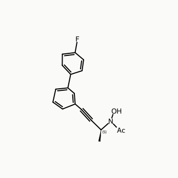 CC(=O)N(O)[C@@H](C)C#Cc1cccc(-c2ccc(F)cc2)c1